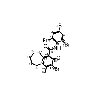 CCc1cc(Br)cc(Br)c1NC(=O)c1c2n(c(C)c(Br)c1=O)CCCCC2